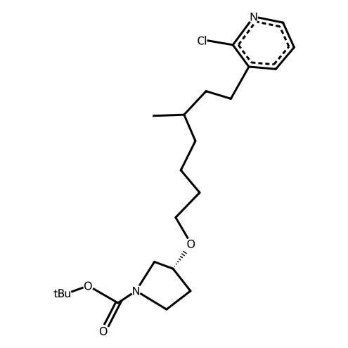 CC(CCCCO[C@@H]1CCN(C(=O)OC(C)(C)C)C1)CCc1cccnc1Cl